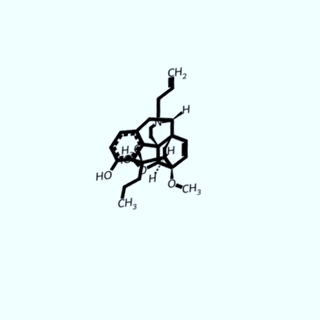 C=CCN1CC[C@]23c4c5ccc(O)c4O[C@H]2[C@@]2(OC)C=C[C@@]3(C[C@@H]2[C@@](C)(O)CCC)[C@H]1C5